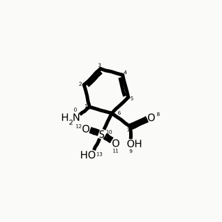 NC1C=CC=CC1(C(=O)O)S(=O)(=O)O